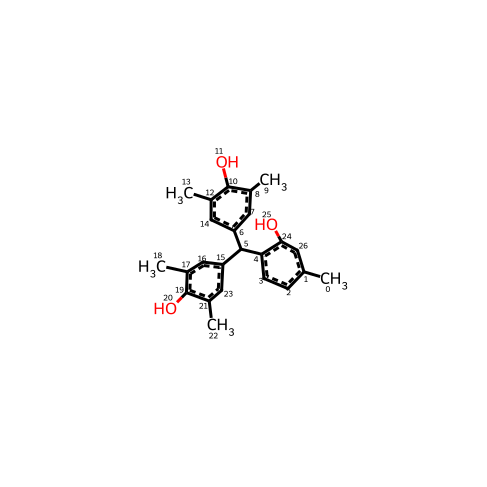 Cc1ccc(C(c2cc(C)c(O)c(C)c2)c2cc(C)c(O)c(C)c2)c(O)c1